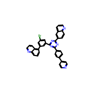 Brc1cc(-c2nc(-c3ccc(-c4ccncc4)cc3)nc(-c3ccc4ncccc4c3)n2)cc(-c2cccc3ncccc23)c1